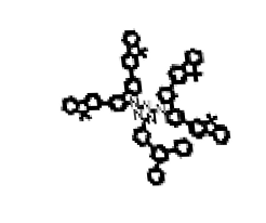 CC1(C)c2ccccc2-c2ccc(-c3ccc4c(c3)c3cc(-c5ccc6c(c5)C(C)(C)c5ccccc5-6)ccc3n4-c3nc(-c4cccc(-c5cc(-c6ccccc6)cc(-c6ccccc6)c5)c4)nc(-n4c5ccc(-c6ccc7c(c6)C(C)(C)c6ccccc6-7)cc5c5cc(-c6ccc7c(c6)C(C)(C)c6ccccc6-7)ccc54)n3)cc21